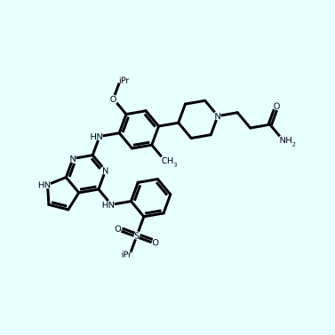 Cc1cc(Nc2nc(Nc3ccccc3S(=O)(=O)C(C)C)c3cc[nH]c3n2)c(OC(C)C)cc1C1CCN(CCC(N)=O)CC1